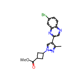 COC(=O)C1CC(n2cc(-c3cnc4ccc(Br)cc4n3)c(C)n2)C1